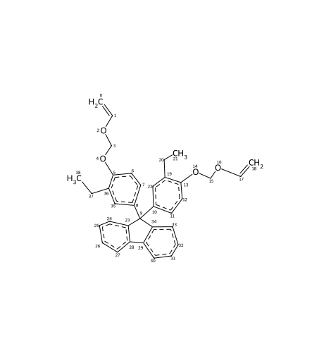 C=COCOc1ccc(C2(c3ccc(OCOC=C)c(CC)c3)c3ccccc3-c3ccccc32)cc1CC